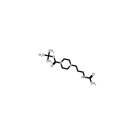 CC(=O)NCCCN1CCN(C(=O)OC(C)(C)C)CC1